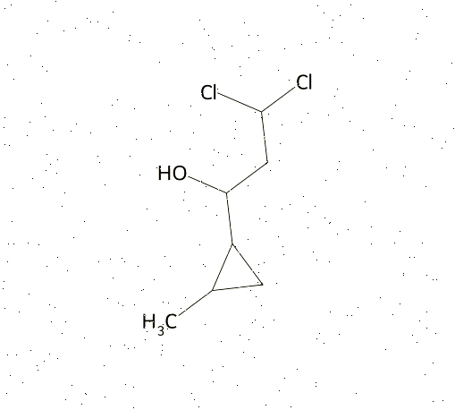 CC1CC1C(O)CC(Cl)Cl